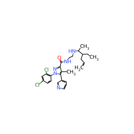 C=CCC(CC)C(C)NCCNC(=O)c1nn(-c2ccc(Cl)cc2Cl)c(-c2cccnc2)c1C